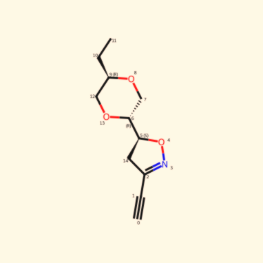 C#CC1=NO[C@H]([C@H]2CO[C@H](CC)CO2)C1